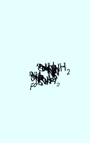 Cc1cccc(NC(=O)N2CCN(c3nc(N)nc4sc(-c5ccc(F)cc5)nc34)CC2)c1.Cc1cccc(NC(=O)N2CCN(c3nc(N)nc4sc(Cc5ccc(F)cc5)nc34)CC2)c1